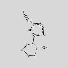 N#Cc1cccc(C2CCCCC2=O)c1